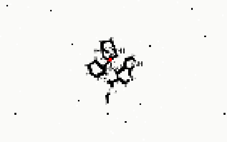 CCOC(=O)c1cnc2[nH]ccc2c1N[C@H]1C[C@H]2CC[C@@H](C1)N2Cc1ccccc1